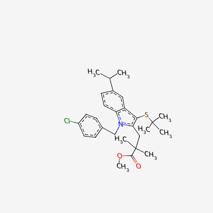 COC(=O)C(C)(C)Cc1c(SC(C)(C)C)c2cc(C(C)C)ccc2n1Cc1ccc(Cl)cc1